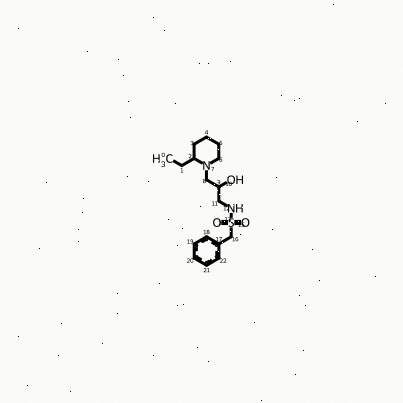 CCC1CCCCN1CC(O)CNS(=O)(=O)Cc1ccccc1